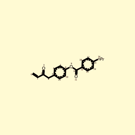 C=CC(=O)Cc1ccc(OC(=O)c2ccc(CCC)cc2)cc1